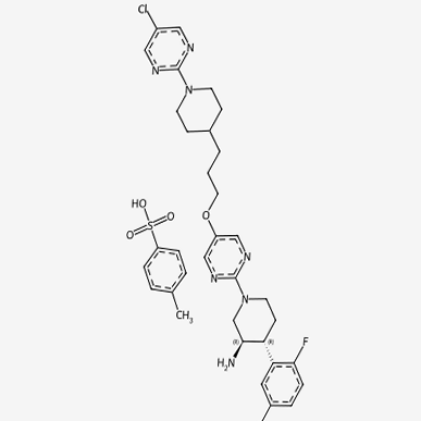 Cc1ccc(S(=O)(=O)O)cc1.N[C@H]1CN(c2ncc(OCCCC3CCN(c4ncc(Cl)cn4)CC3)cn2)CC[C@@H]1c1cc(F)ccc1F